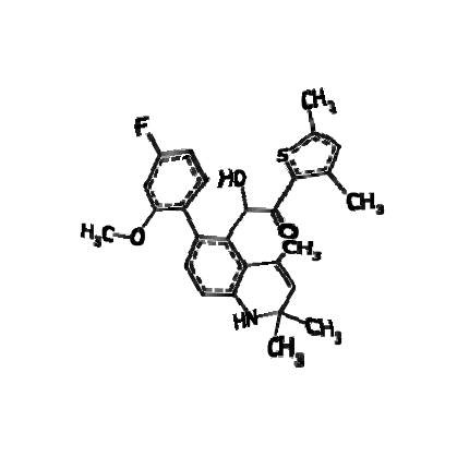 COc1cc(F)ccc1-c1ccc2c(c1C(O)C(=O)c1sc(C)cc1C)C(C)=CC(C)(C)N2